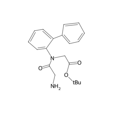 CC(C)(C)OC(=O)CN(C(=O)CN)c1ccccc1-c1ccccc1